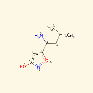 CC(C)CC(N)c1cc(O)no1